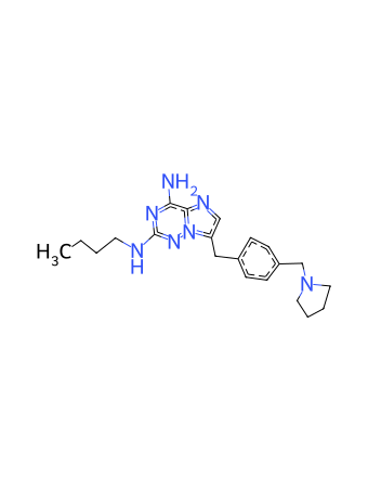 CCCCNc1nc(N)c2ncc(Cc3ccc(CN4CCCC4)cc3)n2n1